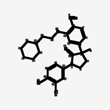 COc1ccc(C2(C)CCN(c3ccc(Cl)c(Cl)c3)C2=O)cc1OCCN1CCCCC1